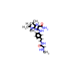 CCc1nc(C(N)=O)c(Nc2cccc(CCNC(=O)CNC)c2)nc1N(C)C(C)C